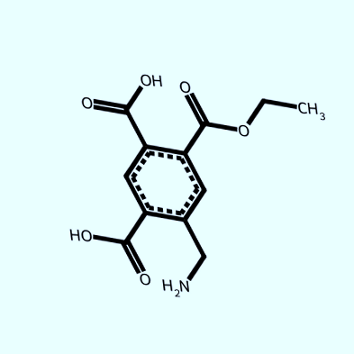 CCOC(=O)c1cc(CN)c(C(=O)O)cc1C(=O)O